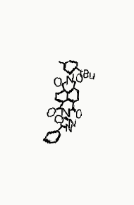 Cc1ccc(C(C)(C)C)c(N2C(=O)c3ccc4c5c(ccc(c35)C2=O)C(=O)N(c2nnc(-c3ccccc3)o2)C4=O)c1